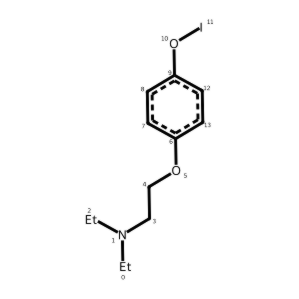 CCN(CC)CCOc1ccc(OI)cc1